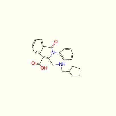 O=C(O)c1c(CNCC2CCCC2)n(-c2ccccc2)c(=O)c2ccccc12